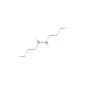 OCCCC(=S)C(=S)CCCO